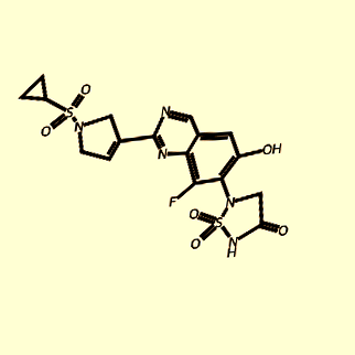 O=C1CN(c2c(O)cc3cnc(C4=CCN(S(=O)(=O)C5CC5)C4)nc3c2F)S(=O)(=O)N1